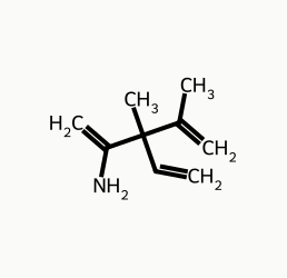 C=CC(C)(C(=C)C)C(=C)N